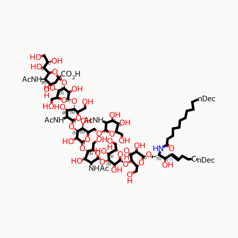 CCCCCCCCCCCCC/C=C/[C@@H](O)[C@H](CO[C@@H]1OC(CO)[C@@H](O[C@@H]2OC(CO)[C@H](O)[C@H](O[C@@H]3OC(CO)[C@@H](O[C@@H]4OC(CO[C@@H]5OC(CO)[C@@H](O)[C@H](O)C5NC(C)=O)[C@H](O)[C@H](O[C@@H]5OC(CO)[C@@H](O[C@@H]6OC(CO)[C@H](O)[C@H](O[C@]7(C(=O)O)CC(O)[C@@H](NC(C)=O)C([C@H](O)[C@H](O)CO)O7)C6O)[C@H](O)C5NC(C)=O)C4O)[C@H](O)C3NC(C)=O)C2O)[C@H](O)C1O)NC(=O)CCCCCCCCCCCCCCCCCCC